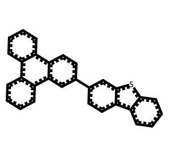 c1ccc2c(c1)sc1cc(-c3ccc4c5ccccc5c5ccccc5c4c3)ccc12